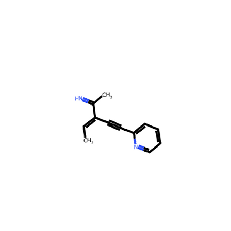 C/C=C(\C#Cc1ccccn1)C(C)=N